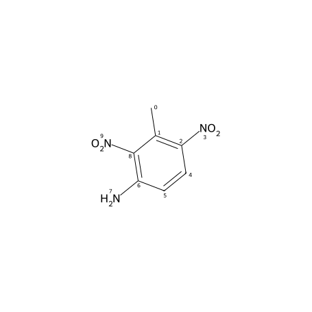 Cc1c([N+](=O)[O-])ccc(N)c1[N+](=O)[O-]